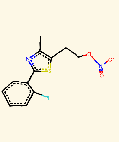 Cc1nc(-c2ccccc2F)sc1CCO[N+](=O)[O-]